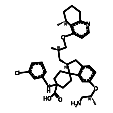 C[C@@H](COc1ccnc2c1[C@H](C)CCC2)C[C@H]1Cc2ccc(O[C@H](C)CN)cc2C12CCC(Nc1cccc(Cl)c1)(C(=O)O)CC2